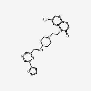 Cc1cnc2ccc(=O)n(CCN3CCC(NCc4cncc(-c5ccco5)n4)CC3)c2c1